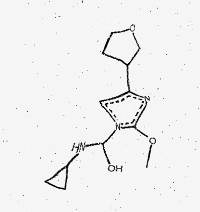 COc1nc(C2CCOC2)cn1C(O)NC1CC1